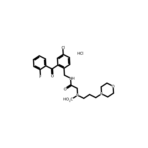 Cl.O=C(CN(CCCN1CCOCC1)C(=O)O)NCc1ccc(Cl)cc1C(=O)c1ccccc1F